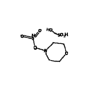 O=S(=O)(O)O.O=[SH](=O)ON1CCOCC1